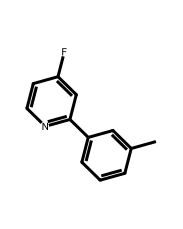 Cc1cccc(-c2cc(F)ccn2)c1